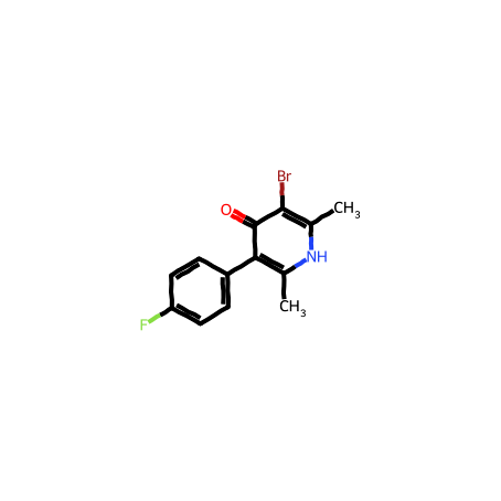 Cc1[nH]c(C)c(-c2ccc(F)cc2)c(=O)c1Br